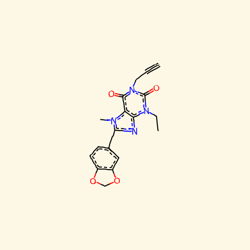 C#CCn1c(=O)c2c(nc(-c3ccc4c(c3)OCO4)n2C)n(CC)c1=O